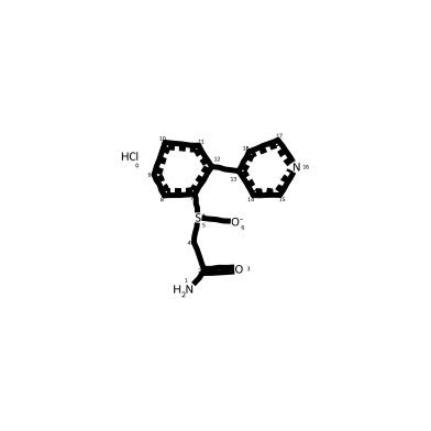 Cl.NC(=O)C[S+]([O-])c1ccccc1-c1ccncc1